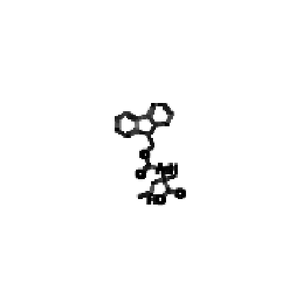 C=CCC(C)([AsH]C(=O)OCC1c2ccccc2-c2ccccc21)C(=O)O